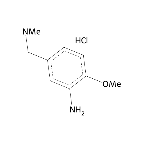 CNCc1ccc(OC)c(N)c1.Cl